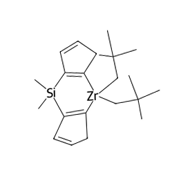 CC(C)(C)[CH2][Zr]1([CH2]C(C)(C)C)[C]2=C(C=CC2)[Si](C)(C)C2=[C]1CC=C2